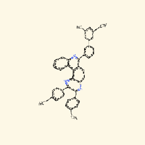 N#Cc1ccc(-c2nc3ccc4c(-c5cccc(-c6cc(C#N)cc(C#N)c6)c5)nc5ccccc5c4c3nc2-c2ccc(C#N)cc2)cc1